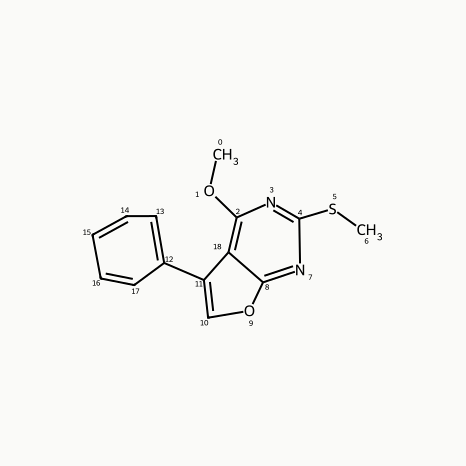 COc1nc(SC)nc2occ(-c3ccccc3)c12